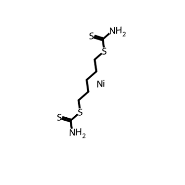 NC(=S)SCCCCCSC(N)=S.[Ni]